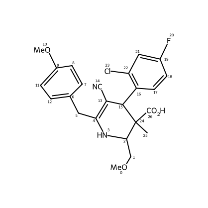 COCC1NC(Cc2ccc(OC)cc2)=C(C#N)C(c2ccc(F)cc2Cl)C1(C)C(=O)O